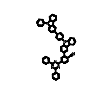 N#Cc1ccc(-c2nc(-c3ccccc3)nc(-c3ccccc3)n2)cc1-c1ccc2c(c1)C1CC=CC=C1N2c1ccc(-c2ccc3c(c2)c2ccccc2n3-c2ccccc2)cc1